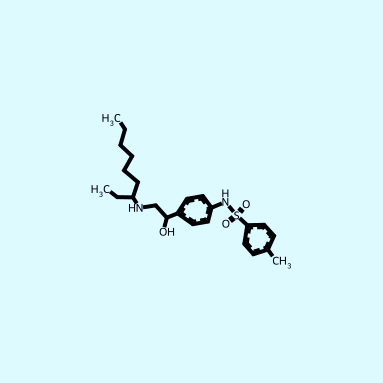 CCCCCCC(CC)NCC(O)c1ccc(NS(=O)(=O)c2ccc(C)cc2)cc1